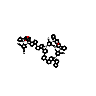 N#Cc1cc(C#N)c(-n2c3ccccc3c3ccccc32)c(-n2c3ccccc3c3c4cccc(-c5cccc6c5ccc5c6c6cc(-c7cccc(-c8cccc9c8ccc8c9c9c%10ccccc%10ccc9n8-c8cc(C#N)c(-n9c%10ccccc%10c%10ccccc%109)c(C#N)c8)c7)ccc6n5-c5cc(C#N)c(-n6c7ccccc7c7ccccc76)c(C#N)c5)c4ccc32)c1